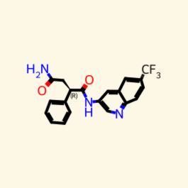 NC(=O)C[C@@H](C(=O)Nc1cnc2ccc(C(F)(F)F)cc2c1)c1ccccc1